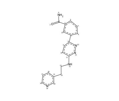 NC(=O)c1cccc(-c2ccc(NCCc3cccnc3)nn2)c1